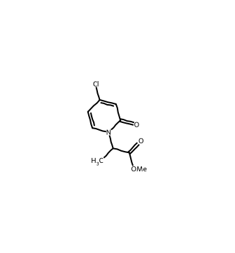 COC(=O)C(C)n1ccc(Cl)cc1=O